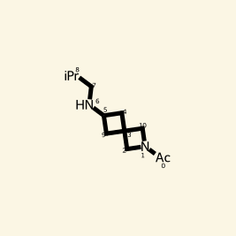 CC(=O)N1CC2(CC(NCC(C)C)C2)C1